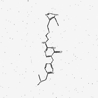 Cc1[nH]cnc1CSCCNc1ncc(Cc2ccc(CN(C)C)nc2)c(=O)[nH]1